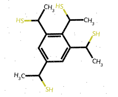 CC(S)c1cc(C(C)S)c(C(C)S)c(C(C)S)c1